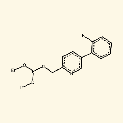 CCOP(OCC)OCc1ccc(-c2ccccc2F)cn1